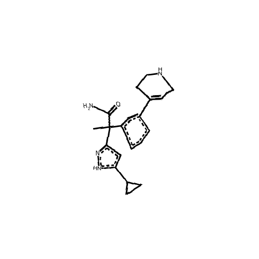 CC(C(N)=O)(c1cccc(C2=CCNCC2)c1)c1cc(C2CC2)[nH]n1